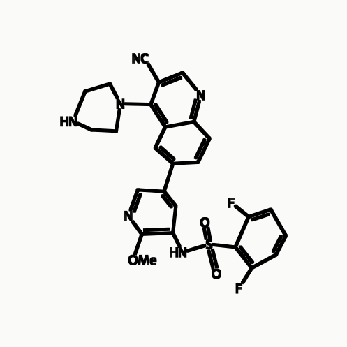 COc1ncc(-c2ccc3ncc(C#N)c(N4CCNCC4)c3c2)cc1NS(=O)(=O)c1c(F)cccc1F